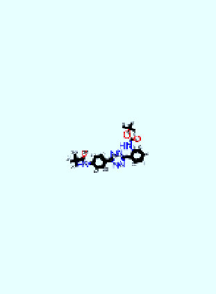 CC(C)(C)OC(=O)Nc1ccccc1-c1nnc(-c2ccc(NC(=O)C(C)(C)C)cc2)nn1